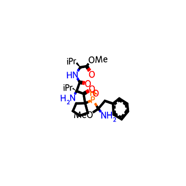 COC(=O)[C@@H](NC(=O)[C@](N)(C(=O)C1([PH](=O)C(N)(Cc2ccccc2)OC)CCCC1)C(C)C)C(C)C